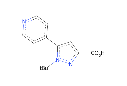 CC(C)(C)n1nc(C(=O)O)cc1-c1ccncc1